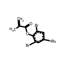 C=C(C)C(=O)Oc1c(Br)cc(CCCC)cc1Br